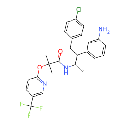 C[C@H](NC(=O)C(C)(C)Oc1ccc(C(F)(F)F)cn1)C(Cc1ccc(Cl)cc1)c1cccc(N)c1